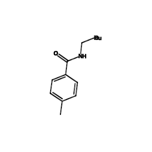 C[CH]C(C)CNC(=O)c1ccc(C)cc1